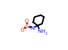 NC1(N=S(=O)=O)CCCCC1